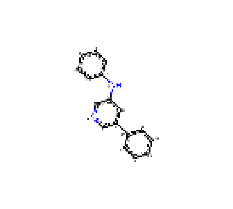 c1ccc(Nc2cncc(-c3ccccc3)c2)cc1